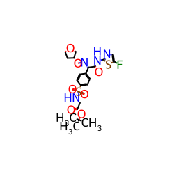 CC(C)(C)OC(=O)CNS(=O)(=O)c1ccc(/C(=N\O[C@@H]2CCOC2)C(=O)Nc2ncc(F)s2)cc1